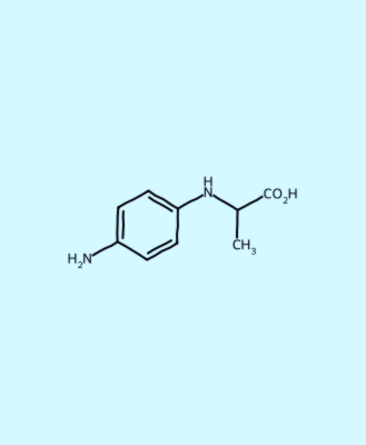 CC(Nc1ccc(N)cc1)C(=O)O